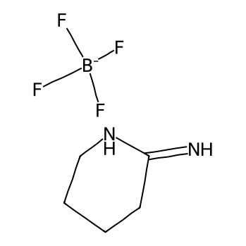 F[B-](F)(F)F.N=C1CCCCN1